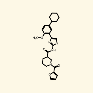 COc1ccc(C2CCCCC2)cc1-c1csc(NC(=O)C2CCCN(C(=O)c3ccco3)C2)n1